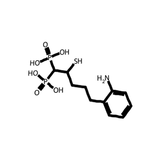 Nc1ccccc1CCCC(S)C(P(=O)(O)O)P(=O)(O)O